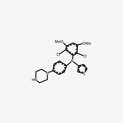 COc1cc(OC)c(Cl)c(N(c2ccc(N3CCNCC3)cc2)c2ccsc2)c1Cl